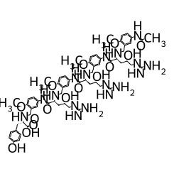 COc1ccc(NC(=O)[C@H](CCCNC(=N)N)NC(=O)c2cc(NC(=O)[C@H](CCCNC(=N)N)NC(=O)c3cc(NC(=O)[C@H](CCCNC(=N)N)NC(=O)c4cc(NC(C)=O)ccc4OC)ccc3OC)ccc2OC)cc1C(=O)N[C@@H](Cc1ccc(O)cc1)C(=O)O